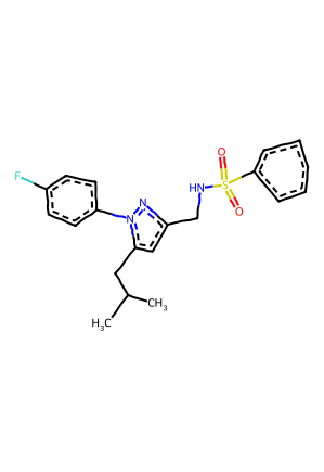 CC(C)Cc1cc(CNS(=O)(=O)c2ccccc2)nn1-c1ccc(F)cc1